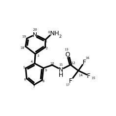 Nc1cc(-c2ccccc2CNC(=O)C(F)(F)F)ccn1